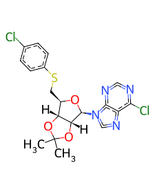 CC1(C)O[C@@H]2[C@H](O1)[C@@H](CSc1ccc(Cl)cc1)O[C@H]2n1cnc2c(Cl)ncnc21